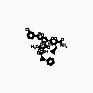 CC(C)(C)[C@H](NC(=O)[C@@H]1C[C@H]1c1ccccc1)C(=O)N1C[C@@]2(CC(c3cccc(Cl)c3)=NO2)C[C@H]1C(=O)N[C@@H](CC1CC1)C(=O)C(N)=O